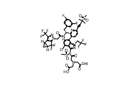 CC(C)(C#Cc1ccc(-c2ccc(Cl)c3c(N(C(=O)CN(CC(=O)O)CC(=O)O)S(C)(=O)=O)nn(CC(F)(F)F)c23)c([C@H](Cc2cc(F)cc(F)c2)NC(=O)Cn2nc(C(F)(F)F)c3c2C(F)(F)[C@@H]2C[C@H]32)n1)S(C)(=O)=O